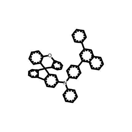 c1ccc(-c2cc(-c3ccc(N(c4ccccc4)c4ccc5c(c4)C4(c6ccccc6Oc6ccccc64)c4ccccc4-5)cc3)c3ccccc3c2)cc1